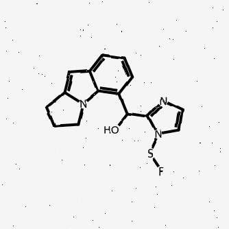 OC(c1cccc2cc3n(c12)CCC3)c1nccn1SF